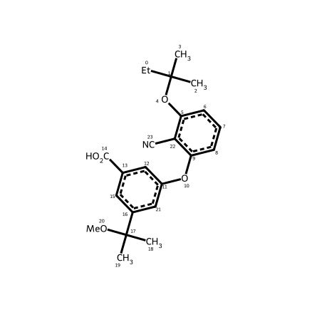 CCC(C)(C)Oc1cccc(Oc2cc(C(=O)O)cc(C(C)(C)OC)c2)c1C#N